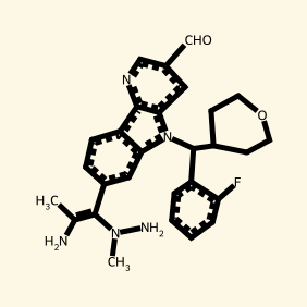 C/C(N)=C(\c1ccc2c3ncc(C=O)cc3n(C(c3ccccc3F)C3CCOCC3)c2c1)N(C)N